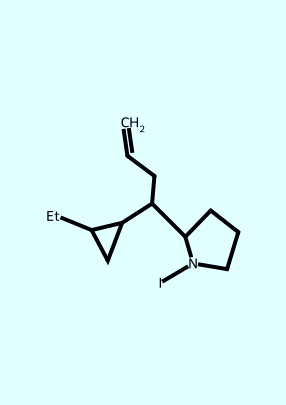 C=CCC(C1CC1CC)C1CCCN1I